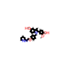 COc1cc(-c2c(C)c3cc(O)ccc3n2Cc2ccc(OCCC3CCCCN3)cc2)ccc1O